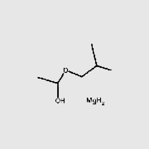 CC(C)COC(C)O.[MgH2]